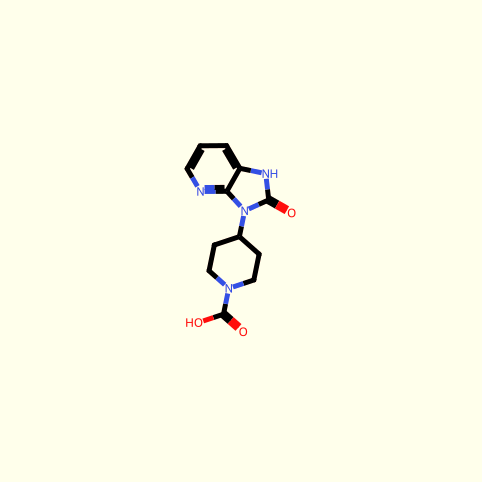 O=C(O)N1CCC(n2c(=O)[nH]c3cccnc32)CC1